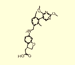 COc1ncc(-c2c(C)ccc(CNc3ccc4c(c3)OC[C@H]4CC(=O)O)c2C)c(OC)n1